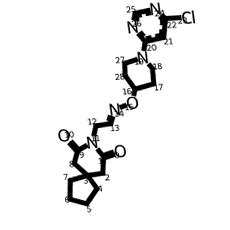 O=C1CC2(CCCC2)CC(=O)N1C/C=N/OC1CCN(c2cc(Cl)ncn2)CC1